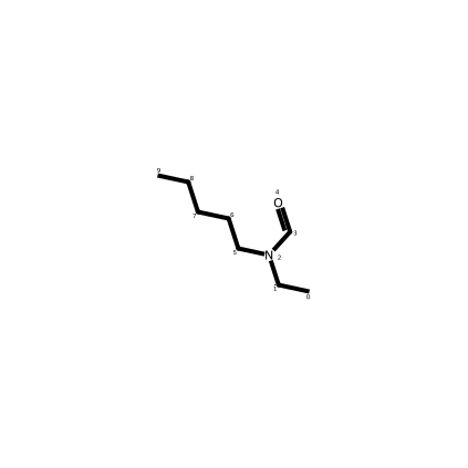 C[CH]N(C=O)CCCCC